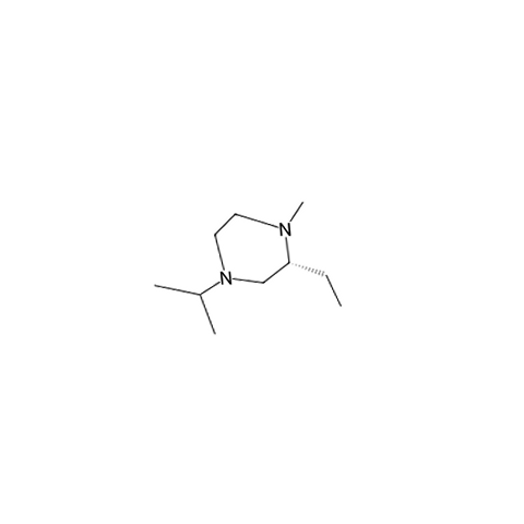 CC[C@@H]1CN(C(C)C)CCN1C